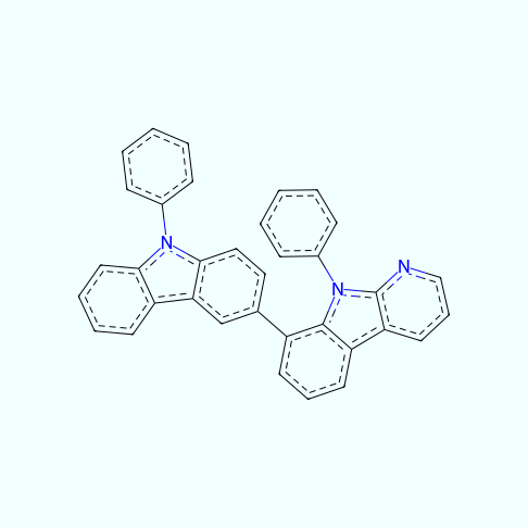 c1ccc(-n2c3ccccc3c3cc(-c4cccc5c6cccnc6n(-c6ccccc6)c45)ccc32)cc1